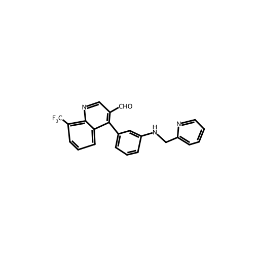 O=Cc1cnc2c(C(F)(F)F)cccc2c1-c1cccc(NCc2ccccn2)c1